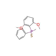 COc1cccc(OC)c1P(C)(=S)c1ccccc1